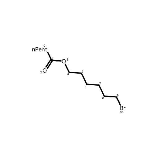 CCCCCC(=O)OCCCCCCBr